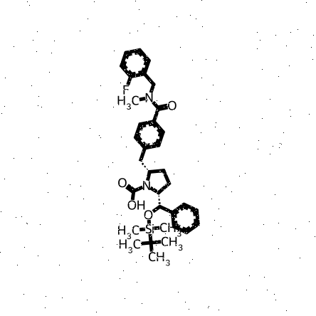 CN(Cc1ccccc1F)C(=O)c1ccc(C[C@@H]2CC[C@H](C(O[Si](C)(C)C(C)(C)C)c3ccccc3)N2C(=O)O)cc1